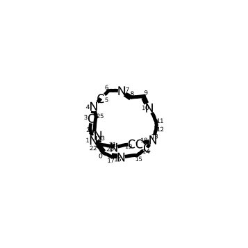 C1=N\CCN2CC/N=C/C=N/CCN(CC\N=C/1)CC/N=C/C=N/CC2